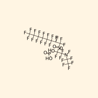 O=[PH](O)OC(F)(C(F)(F)N(F)C(F)(F)C(F)(F)F)S(=O)(=O)C(F)(F)C(F)(F)C(F)(F)C(F)(F)C(F)(F)C(F)(F)C(F)(F)C(F)(F)F